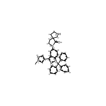 Cn1cc(-c2nn(C(c3ccccc3)(c3ccccc3)c3ccccc3)c3ccc(N4CCC5(CCNC5)C4=O)cc23)cn1